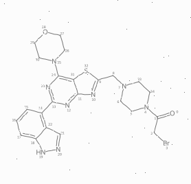 O=C(CBr)N1CCN(Cc2nc3nc(-c4cccc5[nH]ncc45)nc(N4CCOCC4)c3s2)CC1